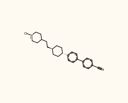 N#Cc1ccc(-c2ccc([C@H]3CC[C@H](CCC4CC[SiH](Cl)CC4)CC3)cc2)cc1